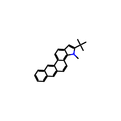 Cn1c([Si](C)(C)C)cc2ccc3c4cc5ccccc5cc4ccc3c21